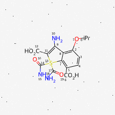 CC(C)Oc1ccc(C(=O)O)c2c1C(N)=C(C(=O)O)S2(C(N)=O)C(N)=O